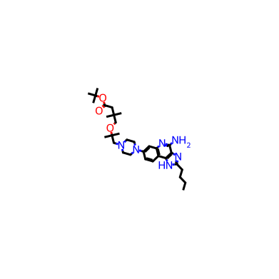 CCCCc1nc2c(N)nc3cc(N4CCN(CC(C)(C)OCC(C)(C)CC(=O)OC(C)(C)C)CC4)ccc3c2[nH]1